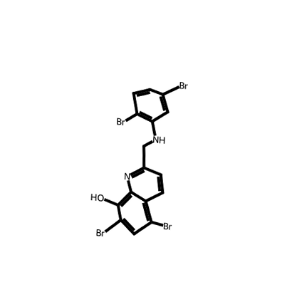 Oc1c(Br)cc(Br)c2ccc(CNc3cc(Br)ccc3Br)nc12